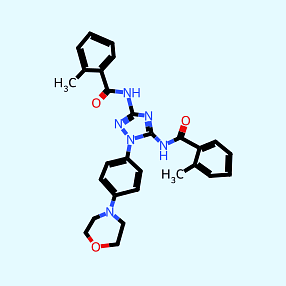 Cc1ccccc1C(=O)Nc1nc(NC(=O)c2ccccc2C)n(-c2ccc(N3CCOCC3)cc2)n1